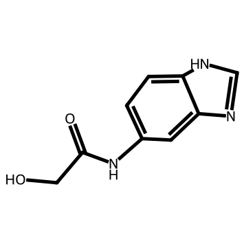 O=C(CO)Nc1ccc2[nH]cnc2c1